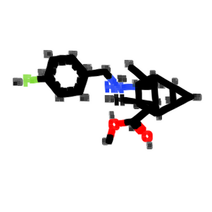 COC(=O)[C@H]1C2CCC(C3CC32)C1(C)NCc1ccc(F)cc1